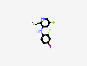 N#Cc1ncc(F)cc1Nc1ccc(I)cc1F